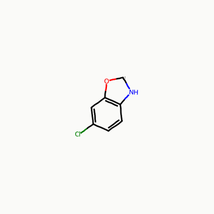 Clc1ccc2c(c1)O[C]N2